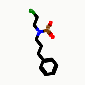 O=[SH](=O)N(CCCl)CCCc1ccccc1